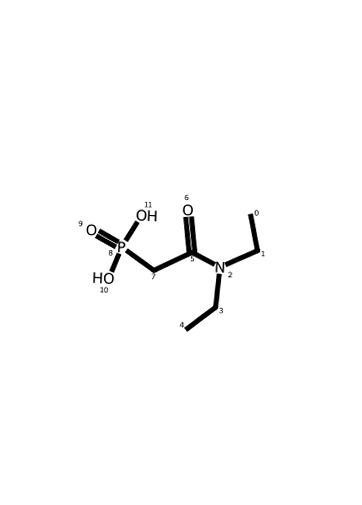 CCN(CC)C(=O)CP(=O)(O)O